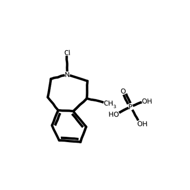 CC1CN(Cl)CCc2ccccc21.O=P(O)(O)O